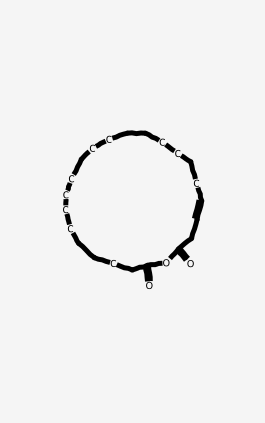 O=C1C/C=C\CCCCCCCCCCCCCCCCCC(=O)O1